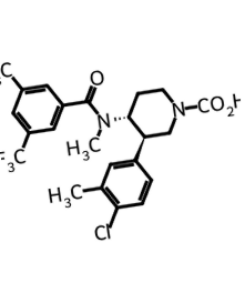 Cc1cc([C@@H]2CN(C(=O)O)CC[C@H]2N(C)C(=O)c2cc(C(F)(F)F)cc(C(F)(F)F)c2)ccc1Cl